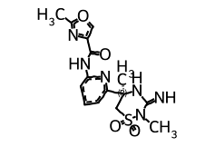 Cc1nc(C(=O)Nc2cccc([C@]3(C)CS(=O)(=O)N(C)C(=N)N3)n2)co1